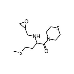 CSCCC(NCC1CO1)C(=O)N1CCSCC1